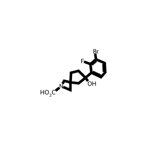 O=C(O)N1CC2(CCC(O)(c3cccc(Br)c3F)C2)C1